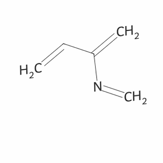 C=CC(=C)N=C